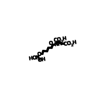 O=C(O)CCC(NC(=O)CCCCCON(O)O)C(=O)O